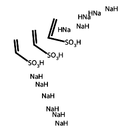 C=CS(=O)(=O)O.C=CS(=O)(=O)O.C=CS(=O)(=O)O.[NaH].[NaH].[NaH].[NaH].[NaH].[NaH].[NaH].[NaH].[NaH].[NaH].[NaH]